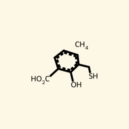 C.O=C(O)c1cccc(CS)c1O